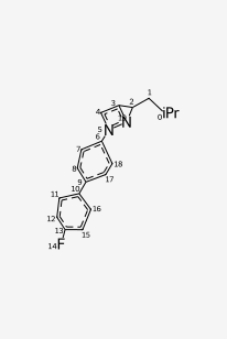 CC(C)CC1c2cn(-c3ccc(-c4ccc(F)cc4)cc3)n21